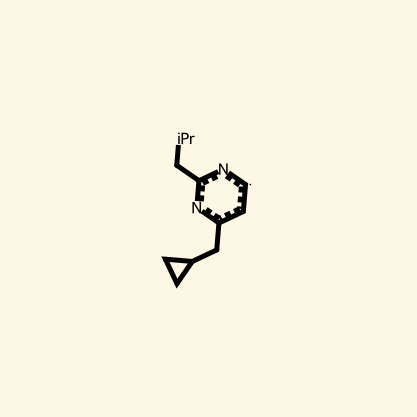 CC(C)Cc1n[c]cc(CC2CC2)n1